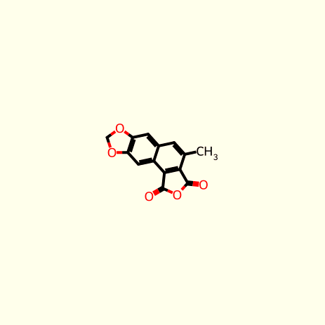 Cc1cc2cc3c(cc2c2c1C(=O)OC2=O)OCO3